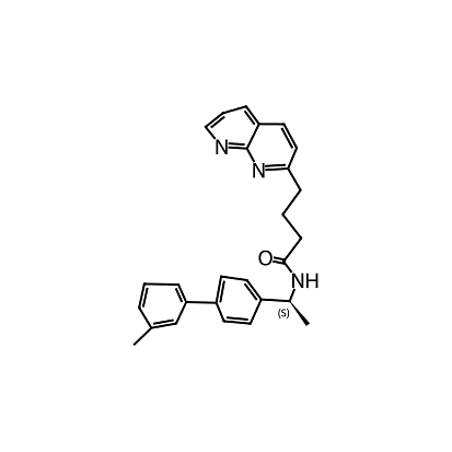 Cc1cccc(-c2ccc([C@H](C)NC(=O)CCCc3ccc4cccnc4n3)cc2)c1